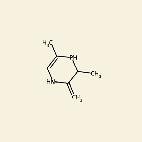 C=C1NC=C(C)PC1C